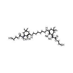 CC1(C)CC(NCCCCCCNC2=C(C#N)/C(=C(\C#N)C(=O)OCCS)CC(C)(C)C2)=C(C#N)/C(=C(\C#N)C(=O)OCCS)C1